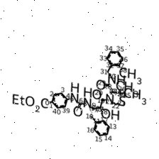 CCOC(=O)c1ccc(NC(=O)N[C@@H](Cc2ccccc2)[C@H](O)C(=O)N2CSC(C)(C)[C@H]2C(=O)NCc2ccccc2C)cc1